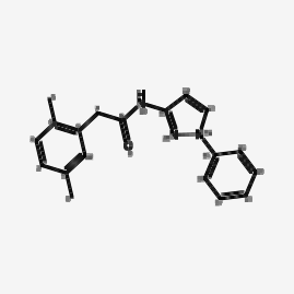 Cc1ccc(C)c(CC(=O)Nc2ccn(-c3ccccc3)n2)c1